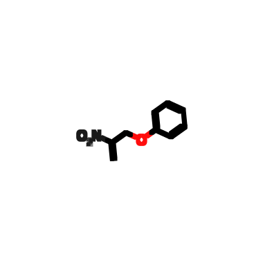 C=C(COc1ccccc1)[N+](=O)[O-]